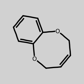 C1=C\COc2ccccc2OC/1